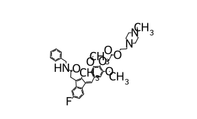 COc1cc(C=C2C(C)=C(CC(=O)NCc3ccccc3)c3cc(F)ccc32)cc(OC)c1OCC(=O)OCCN1CCN(C)CC1